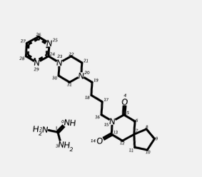 N=C(N)N.O=C1CC2(CCCC2)CC(=O)N1CCCCN1CCN(c2ncccn2)CC1